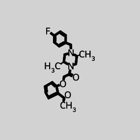 CC(=O)c1ccccc1OCC(=O)N1C[C@@H](C)N(Cc2ccc(F)cc2)C[C@@H]1C